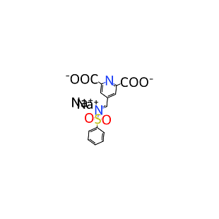 O=C([O-])c1cc(C=NS(=O)(=O)c2ccccc2)cc(C(=O)[O-])n1.[Na+].[Na+]